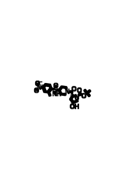 Cc1cc([N+](=O)[O-])ccc1S(=N)(=O)C1CCN(C(=O)[C@@H]2C[C@@H](O)CN2C(=O)OC(C)(C)C)CC1